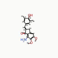 COc1cc2c(c(N)c1OC)C(=O)/C(=C/c1cc(C)c(O)c(C)c1)C2